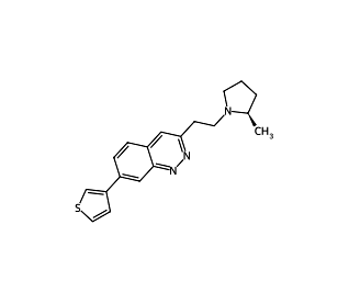 C[C@@H]1CCCN1CCc1cc2ccc(-c3ccsc3)cc2nn1